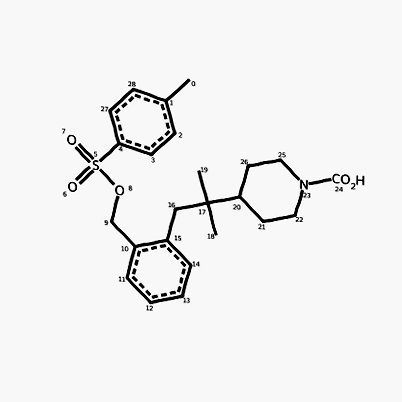 Cc1ccc(S(=O)(=O)OCc2ccccc2CC(C)(C)C2CCN(C(=O)O)CC2)cc1